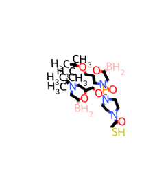 BC1CN(C(C)(C)C)CC(COP(=O)(N2CCN(C(=O)CS)CC2)N2CC(B)OC(COC(C)(C)C)C2)O1